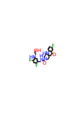 O=C1CC2(CCN(C(=O)NCc3cc(NCCO)c(F)cc3F)CC2)Nc2ccc(F)cc21